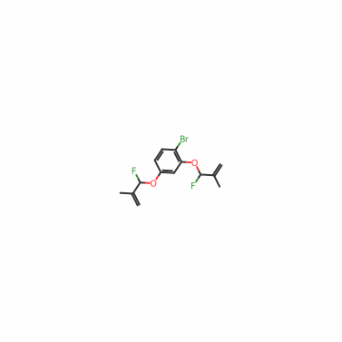 C=C(C)C(F)Oc1ccc(Br)c(OC(F)C(=C)C)c1